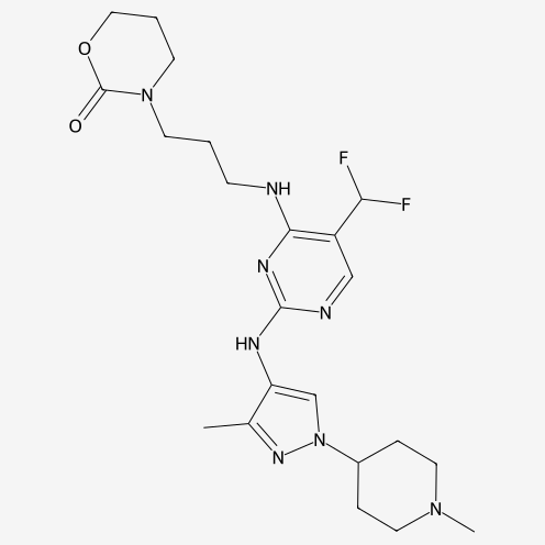 Cc1nn(C2CCN(C)CC2)cc1Nc1ncc(C(F)F)c(NCCCN2CCCOC2=O)n1